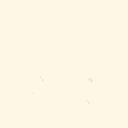 c1cc(-c2nc3ccccc3o2)cc(-c2nc3ccccc3nc2-c2cccc(-c3cccc4c3oc3ccccc34)c2)c1